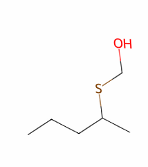 CCCC(C)SCO